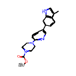 Cc1c[nH]c2cc(-c3ccc(N4CCN(C(=O)OC(C)(C)C)CC4)nc3)ccc12